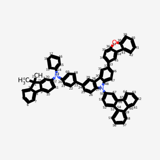 CC1(C)c2ccccc2-c2ccc(N(c3ccccc3)c3ccc(-c4ccc5c(c4)c4cc(-c6ccc7oc8ccccc8c7c6)ccc4n5-c4ccc5c6ccccc6c6ccccc6c5c4)cc3)cc21